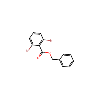 O=C(OCc1ccccc1)c1c(Br)cccc1Br